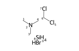 Br.CN(C)C.ClCCl.[SiH4]